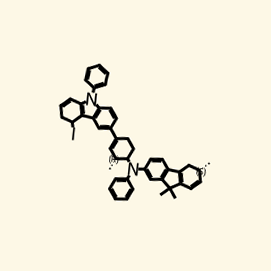 C[C@@H]1C=CC2=C(C1)c1ccc(N(c3ccccc3)C3CCC(c4ccc5c(c4)c4c(n5-c5ccccc5)C=CCC4I)=C[C@H]3C)cc1C2(C)C